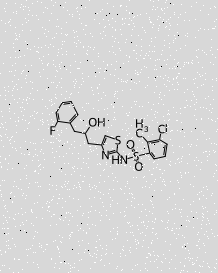 Cc1c(Cl)cccc1S(=O)(=O)Nc1nc(CC(O)Cc2ccccc2F)cs1